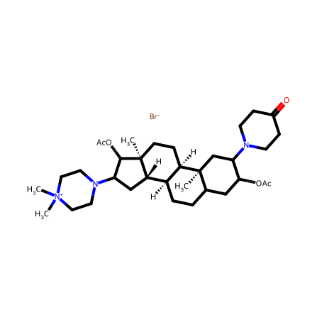 CC(=O)OC1CC2CC[C@@H]3[C@@H](CC[C@]4(C)C(OC(C)=O)C(N5CC[N+](C)(C)CC5)C[C@@H]34)[C@@]2(C)CC1N1CCC(=O)CC1.[Br-]